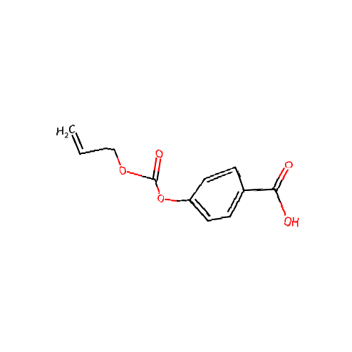 C=CCOC(=O)Oc1ccc(C(=O)O)cc1